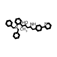 C[C@@H](c1ccccc1N(Cc1ccccc1)Cc1ccccc1)[C@@H](O)C[C@@H](N)Cc1ccc(-c2ccccn2)cc1